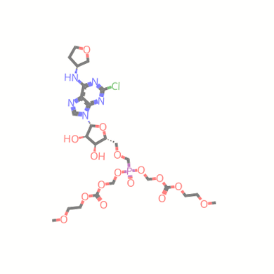 COCCOC(=O)OCOP(=O)(COC[C@H]1O[C@@H](n2cnc3c(N[C@H]4CCOC4)nc(Cl)nc32)[C@H](O)[C@@H]1O)OCOC(=O)OCCOC